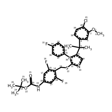 COc1cc(C(C)(C)c2cnc(SCc3c(F)cc(NC(=O)OC(C)(C)C)cc3F)n2-c2ccc(F)cc2)ccc1Cl